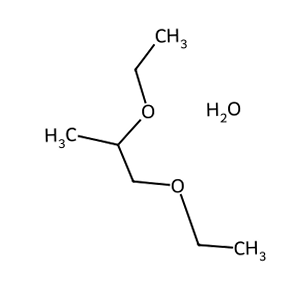 CCOCC(C)OCC.O